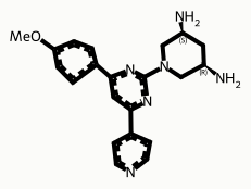 COc1ccc(-c2cc(-c3ccncc3)nc(N3C[C@H](N)C[C@H](N)C3)n2)cc1